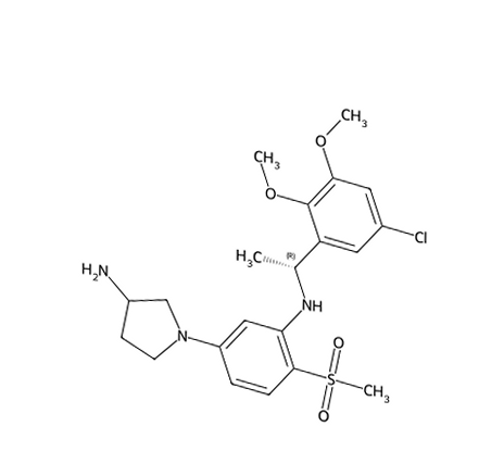 COc1cc(Cl)cc([C@@H](C)Nc2cc(N3CCC(N)C3)ccc2S(C)(=O)=O)c1OC